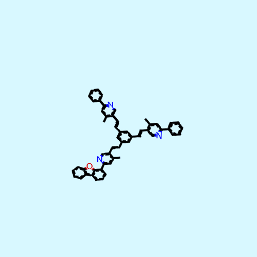 Cc1cc(-c2ccccc2)ncc1/C=C/c1cc(/C=C/c2cnc(-c3ccccc3)cc2C)cc(/C=C/c2cnc(-c3cccc4c3oc3ccccc34)cc2C)c1